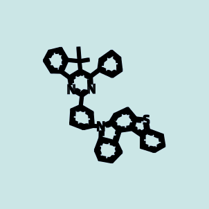 CC1(C)c2ccccc2-c2nc(-c3cccc(-n4c5ccccc5c5c6c(ccc54)sc4ccccc46)c3)nc(-c3ccccc3)c21